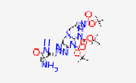 CC(C)(C)OC(=O)N=C(NC(=O)OC(C)(C)C)N(Cc1cnn(C[C@H]2NC(=O)[C@H]2N)n1)CC1CN(C(=O)OC(C)(C)C)C1